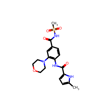 Cc1ccc(C(=O)Nc2ccc(C(=O)NS(C)(=O)=O)cc2N2CCOCC2)[nH]1